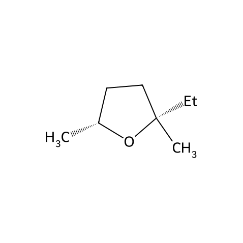 CC[C@@]1(C)CC[C@@H](C)O1